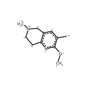 COc1nc2c(cc1I)CN(C)CC2